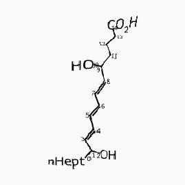 CCCCCCCC(O)/C=C/C=CC=CC(O)CCCC(=O)O